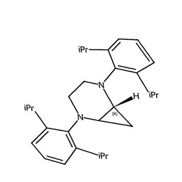 CC(C)c1cccc(C(C)C)c1N1CCN(c2c(C(C)C)cccc2C(C)C)[C@@H]2CC21